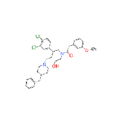 CC(C)Oc1cccc(CC(=O)N(CCO)CC(CCN2CCC(Cc3ccccc3)CC2)c2ccc(Cl)c(Cl)c2)c1